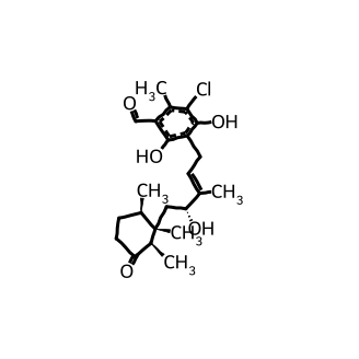 C/C(=C\Cc1c(O)c(Cl)c(C)c(C=O)c1O)[C@H](O)C[C@@]1(C)[C@H](C)CCC(=O)[C@@H]1C